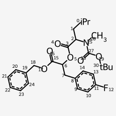 CC(C)CC(C(=O)OC(Cc1ccc(F)cc1)C(=O)OCc1ccccc1)N(C)C(=O)OC(C)(C)C